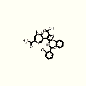 CN1C=C(C(N)=O)N=CC(c2c(C(=O)O)nn(-c3ccccc3)c2NC(=O)c2ccccc2Cl)C1=O